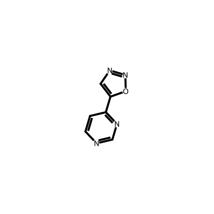 c1cc(-c2cnno2)ncn1